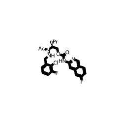 C[CH]C[C@@H](COC(=O)Nc1cc2cc(F)ccc2cn1)N(NCc1cccc(F)c1Cl)C(C)=O